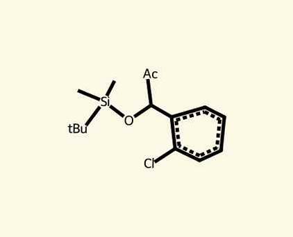 CC(=O)C(O[Si](C)(C)C(C)(C)C)c1ccccc1Cl